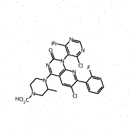 CC(C)c1ncnc(Cl)c1-n1c(=O)nc(N2CCN(C(=O)O)CC2C)c2cc(Cl)c(-c3ccccc3F)nc21